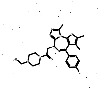 Cc1sc2c(c1C)C(c1ccc(Cl)cc1)=N[C@@H](CC(=O)N1CCN(CS)CC1)c1nnc(C)n1-2